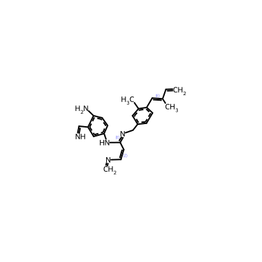 C=C/C(C)=C/c1ccc(C/N=C(\C=C/N=C)Nc2ccc(N)c(C=N)c2)cc1C